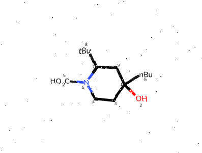 CCCCC1(O)CCN(C(=O)O)C(C(C)(C)C)C1